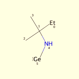 CCC(C)(C)[NH][Ge]